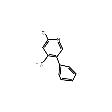 Cc1cc(Cl)ncc1-c1ccccc1